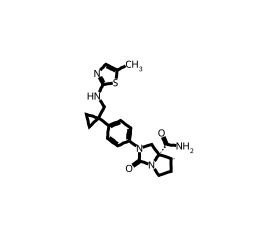 Cc1cnc(NCC2(c3ccc(N4C[C@@]5(C(N)=O)[CH]CCN5C4=O)cc3)CC2)s1